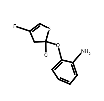 Nc1ccccc1OC1(Cl)CC(F)=CS1